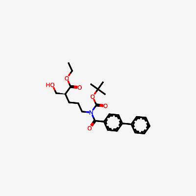 CCOC(=O)[C@H](CO)CCCN(C(=O)OC(C)(C)C)C(=O)c1ccc(-c2ccccc2)cc1